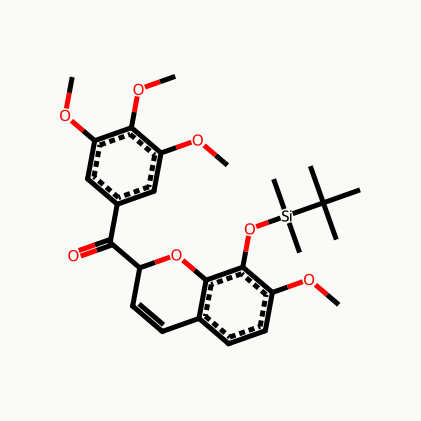 COc1cc(C(=O)C2C=Cc3ccc(OC)c(O[Si](C)(C)C(C)(C)C)c3O2)cc(OC)c1OC